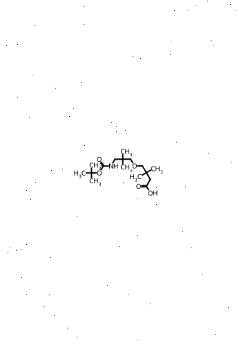 CC(C)(CNC(=O)OC(C)(C)C)COCC(C)(C)CC(=O)O